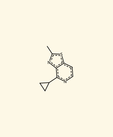 Cc1nc2c(C3CC3)nccc2s1